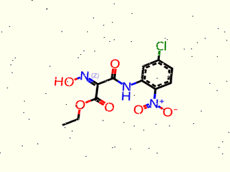 CCOC(=O)/C(=N\O)C(=O)Nc1cc(Cl)ccc1[N+](=O)[O-]